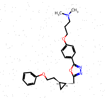 CN(C)CCCOc1ccc(-c2nnc(C[C@@H]3C[C@H]3CCOc3ccccc3)o2)cc1